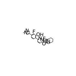 Cn1cc(-c2ccc(-c3ccc(O[C@H]4CC5CCCC(N5)[C@H]4F)nn3)c(O)c2F)cn1